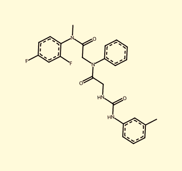 Cc1cccc(NC(=O)NCC(=O)N(CC(=O)N(C)c2ccc(F)cc2F)c2ccccc2)c1